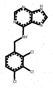 Clc1ccc(CNc2ncnc3[nH]cnc23)c(Cl)c1Cl